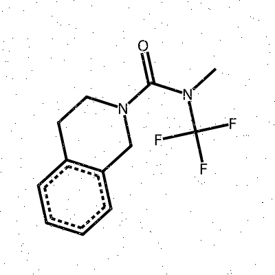 CN(C(=O)N1CCc2ccccc2C1)C(F)(F)F